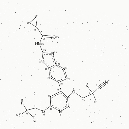 CC(C)(C#N)COc1cnc(OCC(F)(F)F)cc1-c1ccn2nc(NC(=O)C3CC3)cc2c1